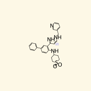 N=C(/C=C\NCc1cccnc1)c1cc(-c2ccccc2)ccc1NC1CCS(=O)(=O)CC1